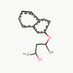 [CH2]C(O)CC(CC)Oc1ccc2ccccc2c1